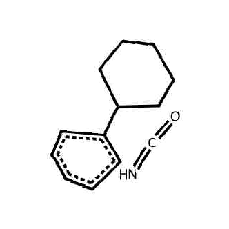 N=C=O.c1ccc(C2CCCCC2)cc1